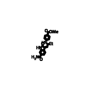 CCC(C=C1C(=O)Nc2cc(C(N)=O)ccc21)Nc1ccc(C(=O)OC)cc1